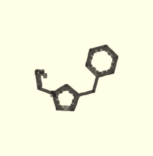 C=Cn1ccc(Cc2ccccc2)c1